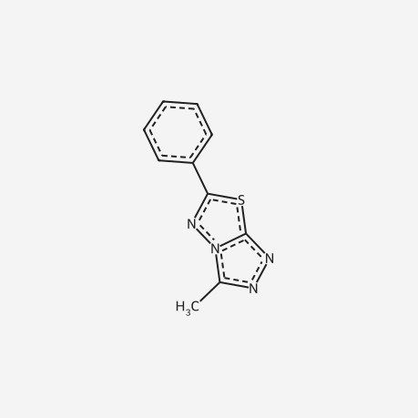 Cc1nnc2sc(-c3ccccc3)nn12